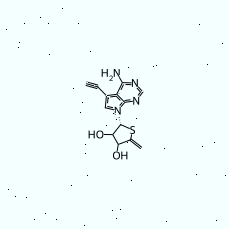 C#Cc1cn([C@@H]2SC(=C)C(O)C2O)c2ncnc(N)c12